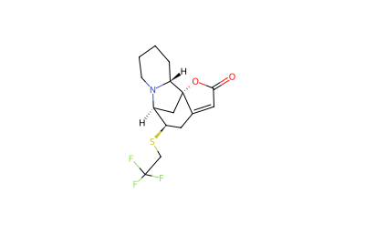 O=C1C=C2C[C@@H](SCC(F)(F)F)[C@@H]3C[C@@]2(O1)[C@H]1CCCCN31